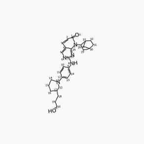 O=c1ccc2cnc(Nc3ccc(N4CCCC(CCCO)C4)cc3)nc2n1C1CC2CCC1C2